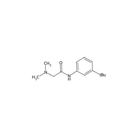 CN(C)CC(=O)Nc1cccc(C(C)(C)C)c1